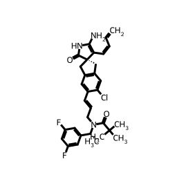 C=C/C=C\C1=C(N)NC(=O)[C@@]12Cc1cc(Cl)c(/C=C/CN(C(=O)C(C)(C)C)[C@H](C)c3cc(F)cc(F)c3)cc1C2